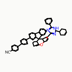 N#Cc1ccc(-c2ccc(-c3ccc4c(c3)C3(c5ccccc5-4)C4CCCC=C4OC4C=CC(C5=NC(C6CC=CCC6)NC(c6ccccc6)=N5)=CC43)cc2)cc1